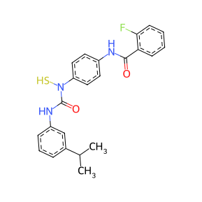 CC(C)c1cccc(NC(=O)N(S)c2ccc(NC(=O)c3ccccc3F)cc2)c1